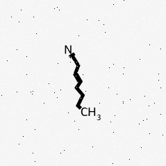 CCCCC=CCC#N